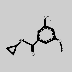 CCOc1cc(C(=O)NC2CC2)cc([N+](=O)[O-])c1